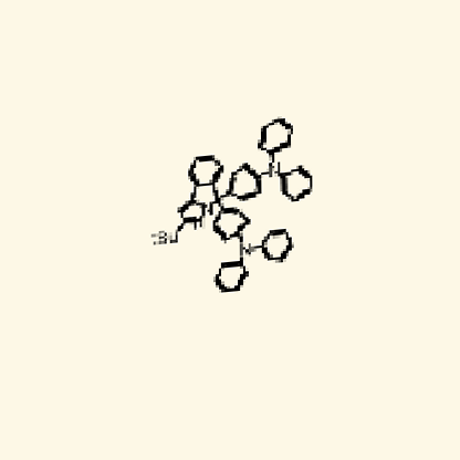 CC(C)(C)c1cc2n(n1)C(c1ccc(N(c3ccccc3)c3ccccc3)cc1)(c1ccc(N(c3ccccc3)c3ccccc3)cc1)c1ccccc1-2